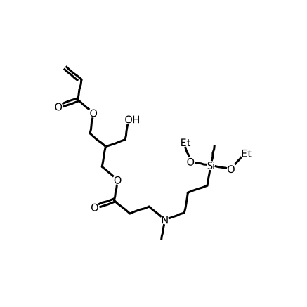 C=CC(=O)OCC(CO)COC(=O)CCN(C)CCC[Si](C)(OCC)OCC